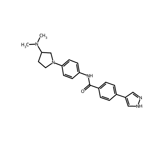 CN(C)C1CCN(c2ccc(NC(=O)c3ccc(-c4cn[nH]c4)cc3)cc2)C1